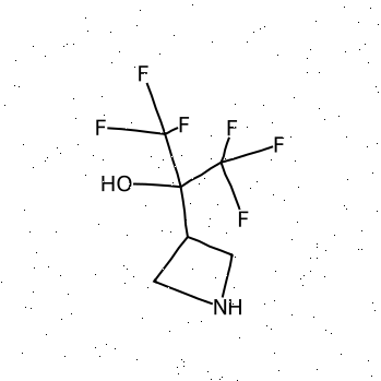 OC(C1CNC1)(C(F)(F)F)C(F)(F)F